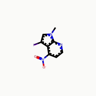 Cn1cc(I)c2c([N+](=O)[O-])ccnc21